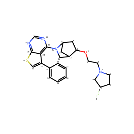 F[C@H]1CCN(CCOC2CC3CC2CN3c2ncnc3scc(-c4ccccc4)c23)C1